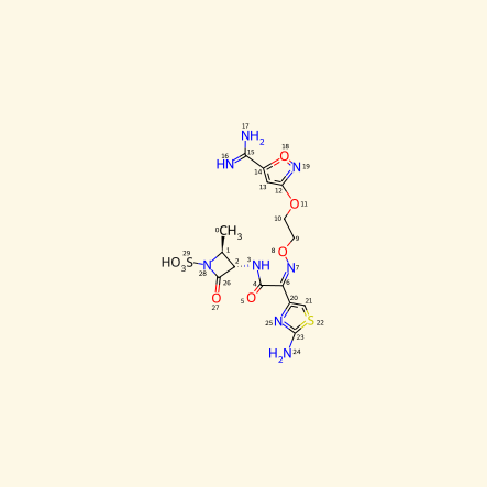 C[C@H]1[C@H](NC(=O)/C(=N\OCCOc2cc(C(=N)N)on2)c2csc(N)n2)C(=O)N1S(=O)(=O)O